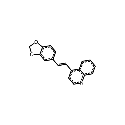 C(=Cc1ccnc2ccccc12)c1ccc2c(c1)OCO2